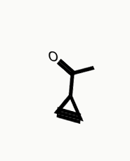 CC(=O)C1C#C1